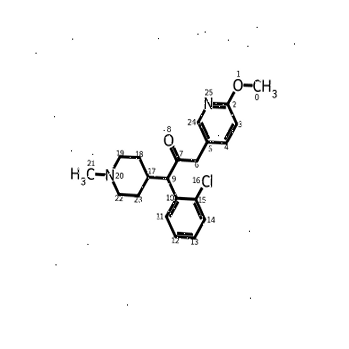 COc1ccc(CC(=O)C(c2ccccc2Cl)C2CCN(C)CC2)cn1